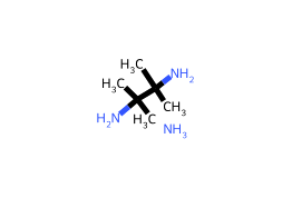 CC(C)(N)C(C)(C)N.N